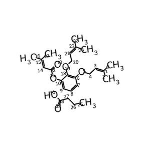 CC(C)=CCOc1cccc(OC(=O)C=C(C)C)c1OCC=C(C)C.CCCC(=O)O